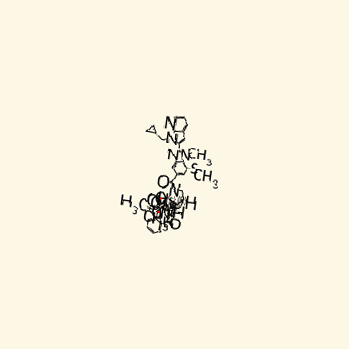 CSc1cc(C(=O)N2C[C@H]3C[C@H](N4C(=O)c5ccccc5C4=O)[C@@H]2[C@@H]3NC(=O)OC(C)(C)C)cc2nc(-c3cc4cccnc4n3CC3CC3)n(C)c12